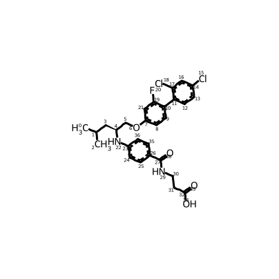 CC(C)C[C@@H](COc1ccc(-c2ccc(Cl)cc2Cl)c(F)c1)Nc1ccc(C(=O)NCCC(=O)O)cc1